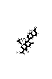 Cc1c(-c2cnc3[nH]c(=O)ccc3c2)c(F)cc2c(=O)c(C(=O)O)cn(C3CC3)c12